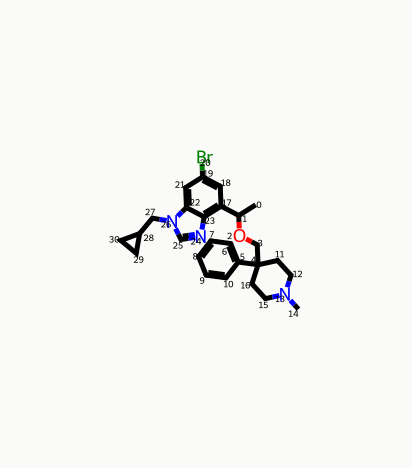 CC(OCC1(c2ccccc2)CCN(C)CC1)c1cc(Br)cc2c1ncn2CC1CC1